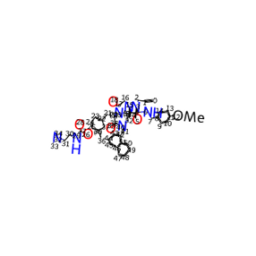 C#CCN(C(=O)NCc1ccc(OC)cc1)N1CC(=O)N2[C@@H](CC3=CC=C(OC(=O)NCCN(C)C)[C@H](C)C3)C(=O)N(Cc3cccc4ccccc34)C[C@@H]21